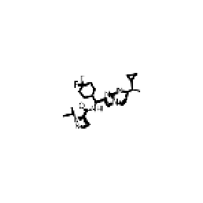 CC(C)n1nccc1C(=O)N[C@H](c1cn2ccc([C@H](C)C3CC3)nc2n1)C1CCC(F)(F)CC1